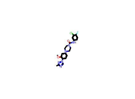 COc1cc(N2CCN(C(=O)Nc3ccc(F)c(Cl)c3)CC2)ccc1-n1cnc(C)n1